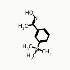 C/C(=N\O)c1cccc([Si](C)(C)C)c1